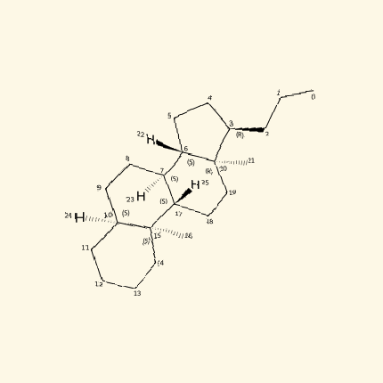 CCC[C@@H]1CC[C@H]2[C@@H]3CC[C@@H]4CCCC[C@]4(C)[C@H]3CC[C@]12C